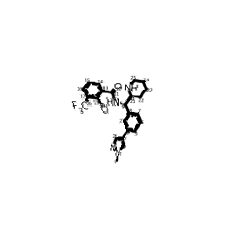 Cn1cc(-c2cccc([C@H](NC(=O)c3cccc(C(F)(F)F)c3Cl)[C@@H]3CCCCN3)c2)cn1